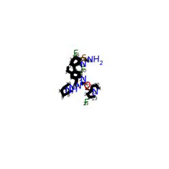 CCc1cc2c(N3CC4CCC(C3)N4)nc(OC[C@@]34CCCN3C[C@H](F)C4)nc2c(F)c1-c1ccc(F)c2sc(N)nc12